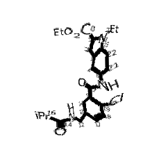 CCOC(=O)c1cc2cc(NC(=O)c3cc(CNC(=O)C(C)C)ccc3Cl)ccc2n1CC